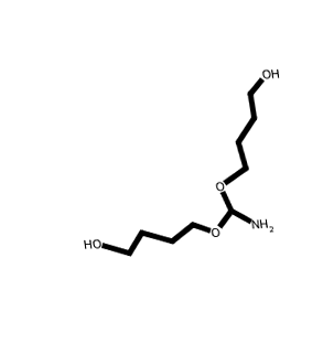 NC(OCCCCO)OCCCCO